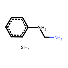 NC[SiH2]c1ccccc1.[SiH4]